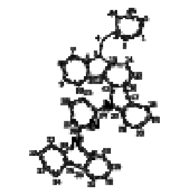 c1ccc(CC2c3ccccc3-c3c2ccc2c4ccccc4n(-c4cccc(-n5c6ccccc6c6ccccc65)n4)c32)cc1